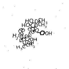 CC(C)O[C@@H]1OC(C(=O)OCc2ccc(O)cc2)[C@@H](OCCO[C@@H]2OC(C(=O)N(C)CC3OCCO3)[C@@H](OC(C)C)[C@H](O)[C@@H]2O)[C@H](O)[C@@H]1O